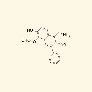 CCCC1C(c2ccccc2)Cc2c(ccc(O)c2OC=O)C1CN